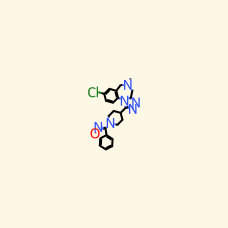 CN1Cc2cc(Cl)ccc2-n2c(nnc2C2CCN(c3noc4ccccc34)CC2)C1